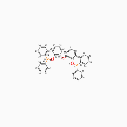 c1ccc(P(Oc2cccc3c2oc2c(OP(c4ccccc4)c4ccccc4)cccc23)c2ccccc2)cc1